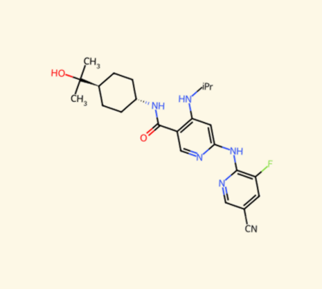 CC(C)Nc1cc(Nc2ncc(C#N)cc2F)ncc1C(=O)N[C@H]1CC[C@H](C(C)(C)O)CC1